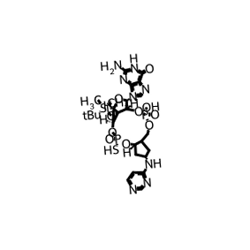 CC(C)(C)[Si](C)(C)OC12[C@@H]3O[C@@H](n4cnc5c(=O)[nH]c(N)nc54)[C@@H]1OP(=O)(O)OCC1C[C@@H](Nc4ccncn4)C[C@@H]1OP(=O)(S)O[C@@H]32